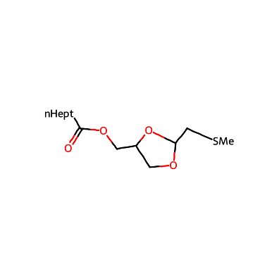 CCCCCCCC(=O)OCC1COC(CSC)O1